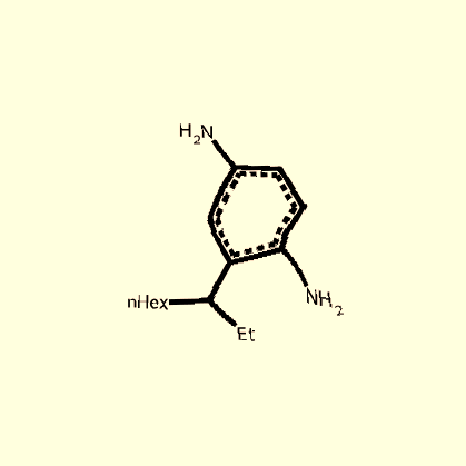 CCCCCCC(CC)c1cc(N)ccc1N